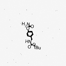 CC(C)(C)OC(=O)NCc1ccc(OC(N)=O)cc1